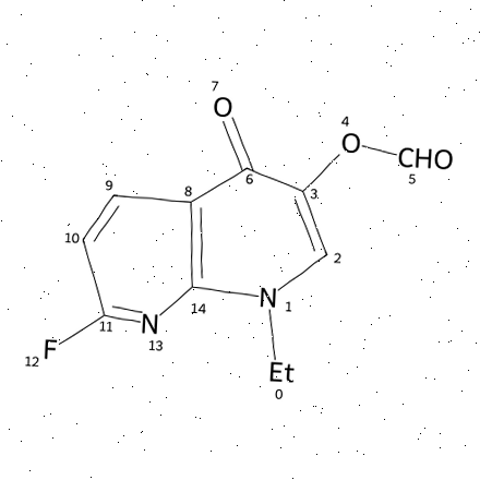 CCn1cc(OC=O)c(=O)c2ccc(F)nc21